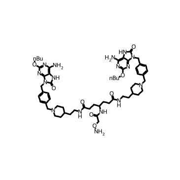 CCCCOc1nc(N)c2[nH]c(=O)n(Cc3ccc(CN4CCC(CCNC(=O)CCC(CCC(=O)NCCC5CCN(Cc6ccc(Cn7c(=O)[nH]c8c(N)nc(OCCCC)nc87)cc6)CC5)NC(=O)CON)CC4)cc3)c2n1